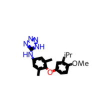 COc1ccc(Oc2c(C)cc(Nc3nnn[nH]3)cc2C)cc1C(C)C